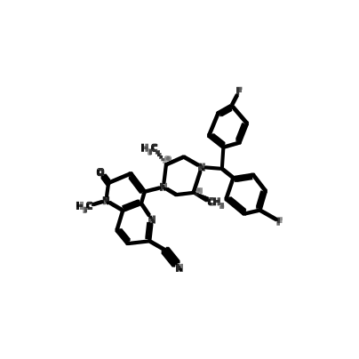 C[C@@H]1CN(C(c2ccc(F)cc2)c2ccc(F)cc2)[C@@H](C)CN1c1cc(=O)n(C)c2ccc(C#N)nc12